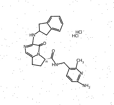 Cc1nc(N)ccc1CNC(=O)[C@@H]1CCc2cnc(NC3Cc4ccccc4C3)c(=O)n21.Cl.Cl